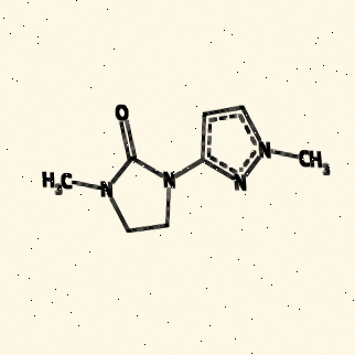 CN1CCN(c2ccn(C)n2)C1=O